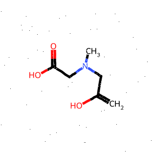 C=C(O)CN(C)CC(=O)O